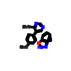 CNc1ncncc1-c1ccc(OC)cc1.c1cc2cc3c1o[nH]n2-3